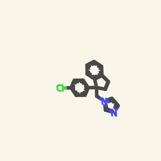 Clc1ccc(C2(Cn3ccnc3)CCc3ccccc32)cc1